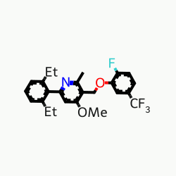 CCc1cccc(CC)c1-c1cc(OC)c(COc2cc(C(F)(F)F)ccc2F)c(C)n1